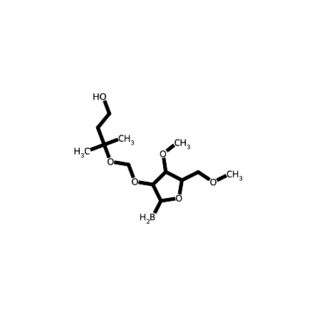 BC1OC(COC)C(OC)C1OCOC(C)(C)CCO